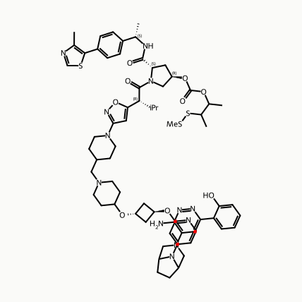 CSSC(C)C(C)OC(=O)O[C@@H]1C[C@@H](C(=O)N[C@@H](C)c2ccc(-c3scnc3C)cc2)N(C(=O)[C@@H](c2cc(N3CCC(CN4CCC(O[C@H]5C[C@H](Oc6cc(N7C8CCC7CN(c7cc(-c9ccccc9O)nnc7N)C8)ccn6)C5)CC4)CC3)no2)C(C)C)C1